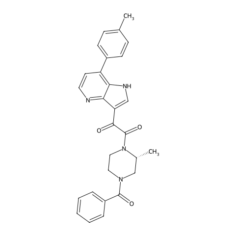 Cc1ccc(-c2ccnc3c(C(=O)C(=O)N4CCN(C(=O)c5ccccc5)C[C@H]4C)c[nH]c23)cc1